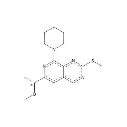 CO[C@H](C)c1cc2cnc(SC)nc2c(N2CCCCC2)n1